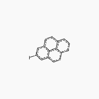 Ic1cc2ccc3cccc4ccc(c1)c2c34